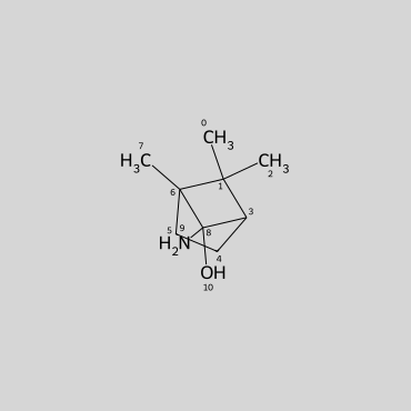 CC1(C)C2CCC1(C)C2(N)O